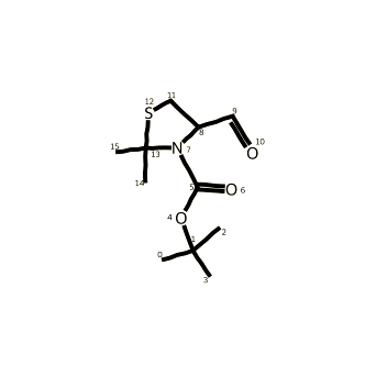 CC(C)(C)OC(=O)N1C(C=O)CSC1(C)C